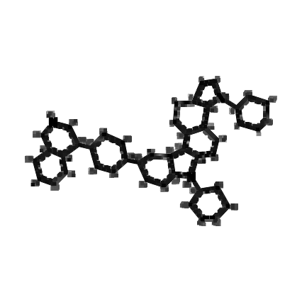 c1ccc(-n2ccc3ccc4c(ccc5c4c4cc(-c6ccc(-c7cncc8ccccc78)cc6)ccc4n5-c4ccccc4)c32)cc1